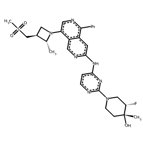 CC(C)c1ncc(N2C[C@H](CS(C)(=O)=O)[C@H]2C)c2cnc(Nc3ccnc(N4CC[C@@](C)(O)[C@@H](F)C4)n3)cc12